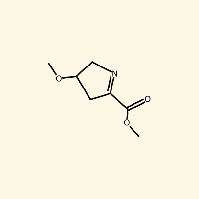 COC(=O)C1=NCC(OC)C1